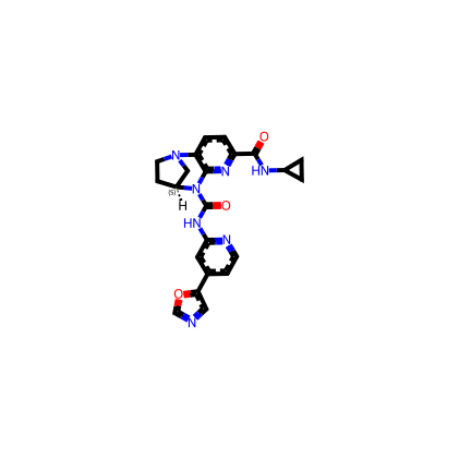 O=C(NC1CC1)c1ccc2c(n1)N(C(=O)Nc1cc(-c3cnco3)ccn1)[C@H]1CCN2C1